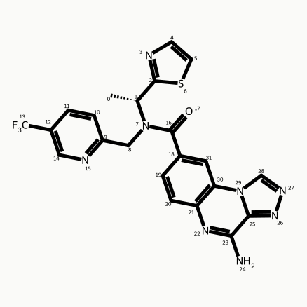 C[C@H](c1nccs1)N(Cc1ccc(C(F)(F)F)cn1)C(=O)c1ccc2nc(N)c3nncn3c2c1